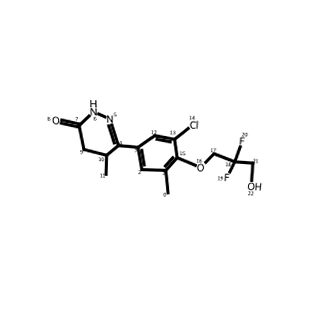 Cc1cc(C2=NNC(=O)CC2C)cc(Cl)c1OCC(F)(F)CO